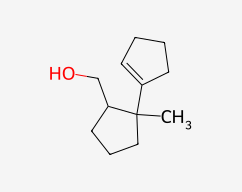 CC1(C2=CCCC2)CCCC1CO